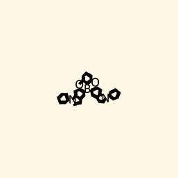 c1ccc(-n2ccc3cc4c(cc32)Oc2cccc3c2B4c2cc4ccn(-c5ccccc5)c4cc2O3)cc1